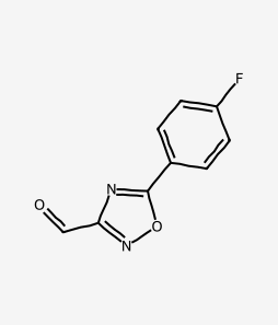 O=Cc1noc(-c2ccc(F)cc2)n1